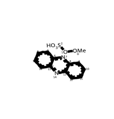 COOS(=O)(=O)O.c1ccc2nc3ccccc3nc2c1